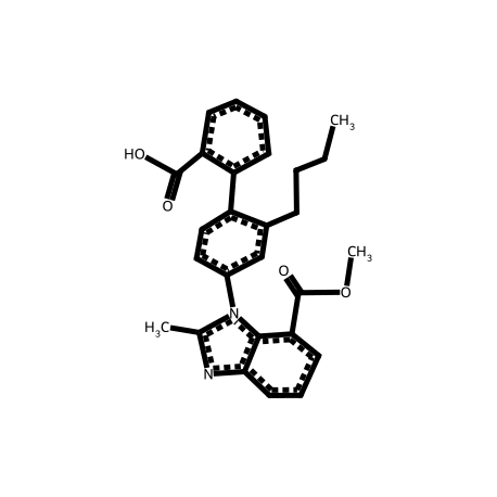 CCCCc1cc(-n2c(C)nc3cccc(C(=O)OC)c32)ccc1-c1ccccc1C(=O)O